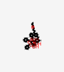 C=CCOCCCCc1ccc(Cc2cc([C@]3(O)OC(CO)(CO)[C@@H](OCc4ccccc4)[C@H](OCc4ccccc4)[C@H]3OCc3ccccc3)ccc2C)cc1